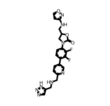 O=C1OC(CNc2ccon2)CN1c1ccc(-c2ccc(CNCc3cnn[nH]3)nc2)c(F)c1F